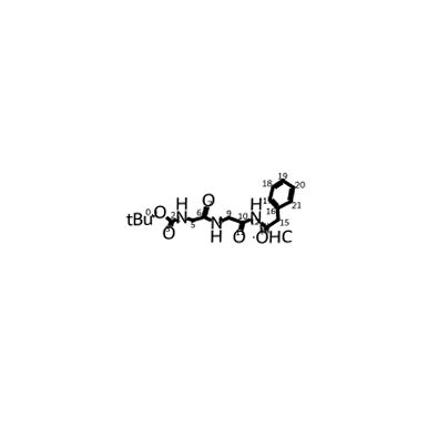 CC(C)(C)OC(=O)NCC(=O)NCC(=O)N[C@H]([C]=O)Cc1ccccc1